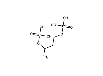 CC(CCOP(=O)(O)O)OP(=O)(O)O